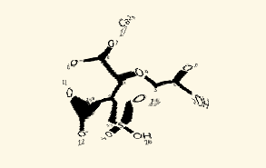 O=C(O)COC(C(=O)[O-])C(C(=O)[O-])S(=O)(=O)O.[Ca+2]